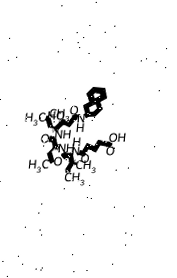 CCC[C@H](NC(=O)[C@@H](NC(=O)CCCC(=O)O)[C@@H](C)CC)C(=O)N[C@@H](CC(C)C)[C@@H](O)CC(=O)NC1CCc2ccccc2C1